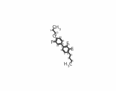 CCCCc1ccc(-c2ccc(OCCC)c(F)c2)c(F)c1F